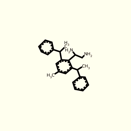 Cc1cc(C(C)c2ccccc2)c(C(N)CN)c(C(C)c2ccccc2)c1